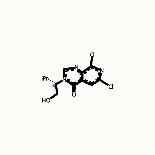 CC(C)[C@@H](CO)n1cnc2c(Cl)nc(Cl)cc2c1=O